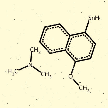 CN(C)C.COc1cc[c]([SnH])c2ccccc12